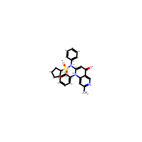 Cc1cc2c(cn1)c(=O)cc(N(c1ccccc1)S(=O)(=O)C1CCCC1)n2-c1ccccc1